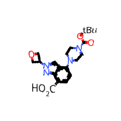 CC(C)(C)OC(=O)N1CCN(c2ccc(C(=O)O)c3nn(C4COC4)cc23)CC1